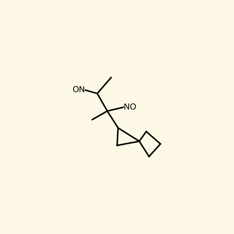 CC(N=O)C(C)(N=O)C1CC12CCC2